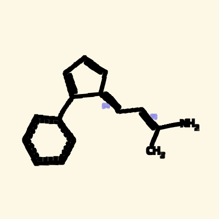 C/C(N)=C\C=C1/C=CC=C1c1ccccc1